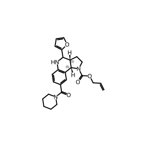 C=CCOC(=O)N1CC[C@H]2C(c3ccco3)Nc3ccc(C(=O)N4CCCCC4)cc3[C@H]21